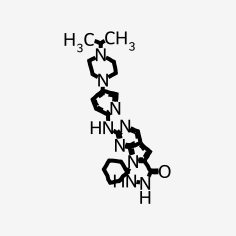 CC(C)N1CCN(c2ccc(Nc3ncc4cc5n(c4n3)C3(CCCCC3)NNC5=O)nc2)CC1